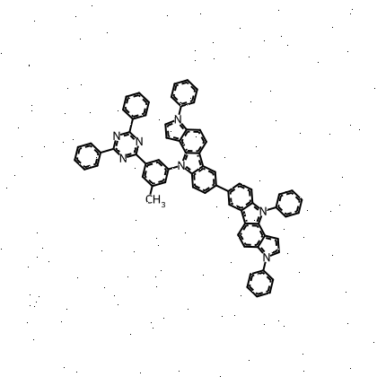 Cc1cc(-c2nc(-c3ccccc3)nc(-c3ccccc3)n2)cc(-n2c3ccc(-c4ccc5c(c4)c4ccc6c(ccn6-c6ccccc6)c4n5-c4ccccc4)cc3c3ccc4c(ccn4-c4ccccc4)c32)c1